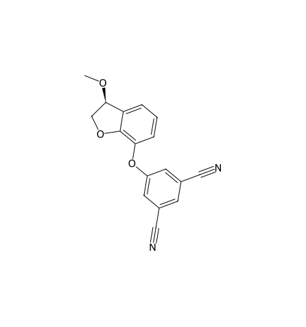 CO[C@@H]1COc2c(Oc3cc(C#N)cc(C#N)c3)cccc21